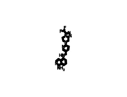 Nc1nccc2c(NCc3ccc(N4CCn5c(nnc5C(F)F)C4)nc3)cccc12